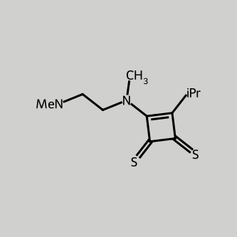 CNCCN(C)c1c(C(C)C)c(=S)c1=S